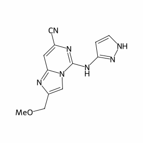 COCc1cn2c(Nc3cc[nH]n3)nc(C#N)cc2n1